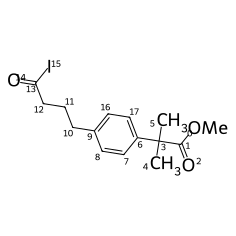 COC(=O)C(C)(C)c1ccc(CCCC(=O)I)cc1